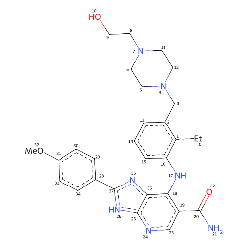 CCc1c(CN2CCN(CCO)CC2)cccc1Nc1c(C(N)=O)cnc2[nH]c(-c3ccc(OC)cc3)nc12